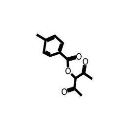 CC(=O)C(OC(=O)c1ccc(C)cc1)C(C)=O